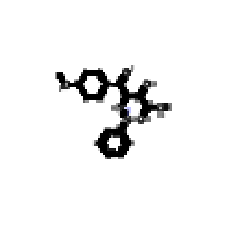 CO[C@H]1CC[C@@H](C(=O)C(/N=N/c2ccccc2)C(=O)C(=O)O)CC1